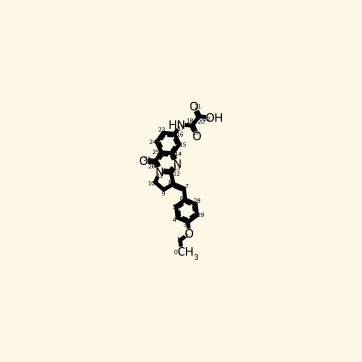 CCOc1ccc(C=C2CCn3c2nc2cc(NC(=O)C(=O)O)ccc2c3=O)cc1